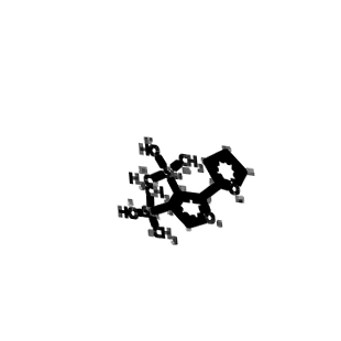 C[Si](C)(O)c1coc(-c2ccco2)c1[Si](C)(C)O